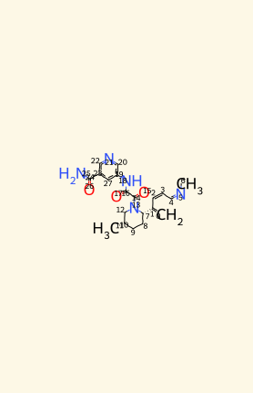 C=C(/C=C\C=N/C)[C@@H]1CC[C@H](C)CN1C(=O)C(=O)Nc1cncc(C(N)=O)c1